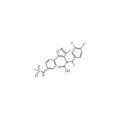 Cc1noc(-c2ccc(NS(C)(=O)=O)cc2)c1N(C(=O)O)C(C)c1ccc(F)c(F)c1